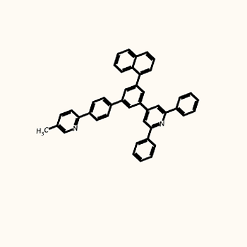 Cc1ccc(-c2ccc(-c3cc(-c4cc(-c5ccccc5)nc(-c5ccccc5)c4)cc(-c4cccc5ccccc45)c3)cc2)nc1